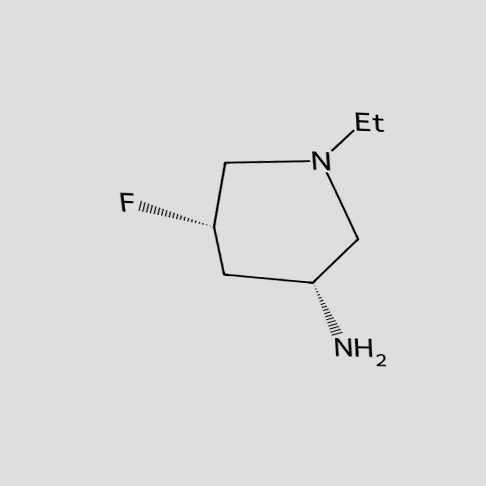 CCN1C[C@H](N)C[C@H](F)C1